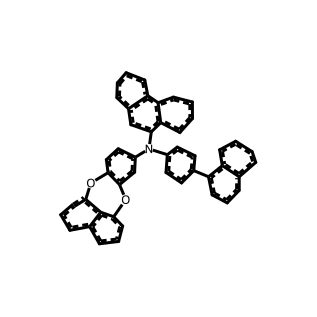 c1ccc2c(-c3ccc(N(c4ccc5c(c4)Oc4cccc6cccc(c46)O5)c4cc5ccccc5c5ccccc45)cc3)cccc2c1